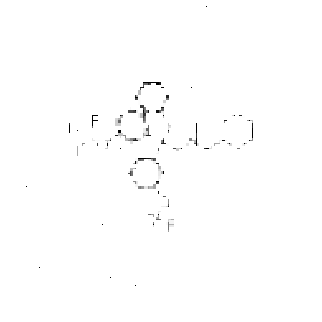 FC(F)(F)Oc1cccc(C(CNCC2CCCCC2)(Cc2ccccc2)c2cccc(OC(F)(F)F)c2)c1